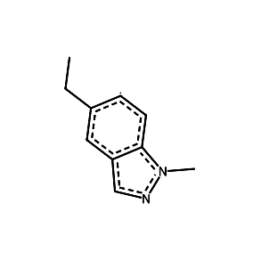 CCc1[c]cc2c(cnn2C)c1